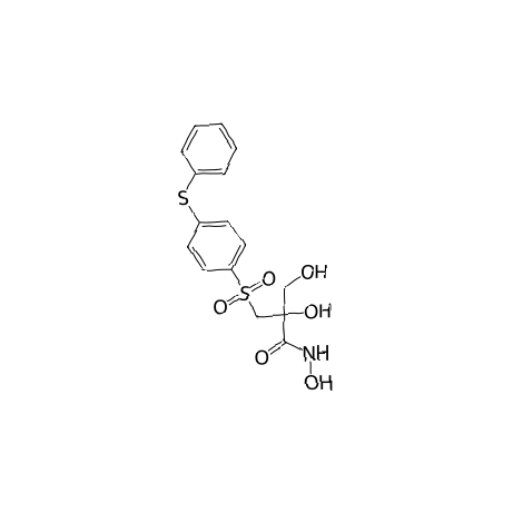 O=C(NO)C(O)(CO)CS(=O)(=O)c1ccc(Sc2ccccc2)cc1